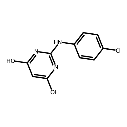 Oc1cc(O)nc(Nc2ccc(Cl)cc2)n1